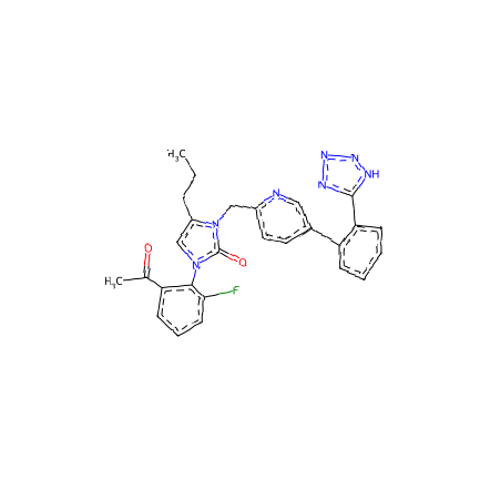 CCCc1cn(-c2c(F)cccc2C(C)=O)c(=O)n1Cc1ccc(-c2ccccc2-c2nnn[nH]2)cn1